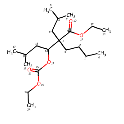 CCCCC(CC(C)C)(C(=O)OCC)C(CC(C)C)OC(=O)OCC